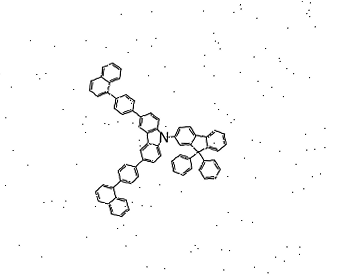 c1ccc(C2(c3ccccc3)c3ccccc3-c3ccc(-n4c5ccc(-c6ccc(-c7cccc8ccccc78)cc6)cc5c5cc(-c6ccc(-c7cccc8ccccc78)cc6)ccc54)cc32)cc1